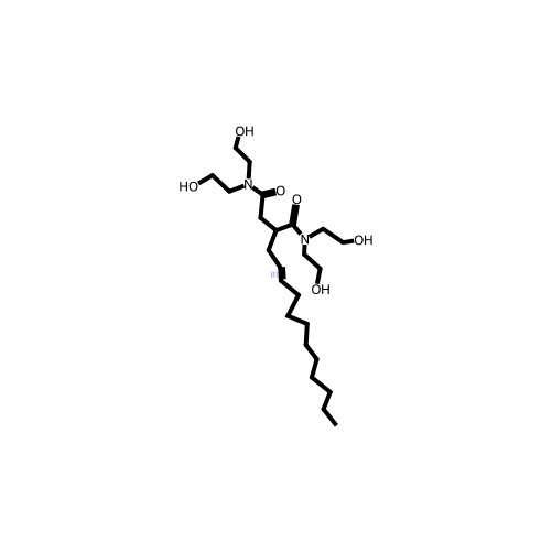 CCCCCCCCC/C=C/CC(CC(=O)N(CCO)CCO)C(=O)N(CCO)CCO